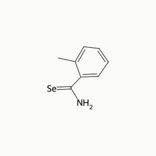 Cc1ccccc1C(N)=[Se]